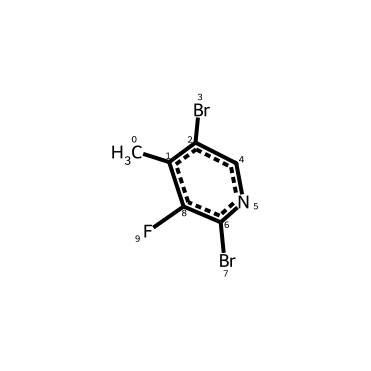 Cc1c(Br)cnc(Br)c1F